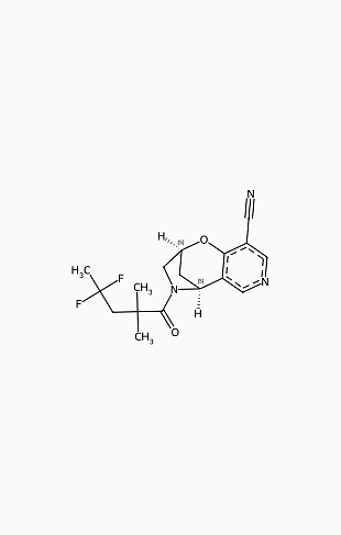 CC(F)(F)CC(C)(C)C(=O)N1C[C@@H]2C[C@H]1c1cncc(C#N)c1O2